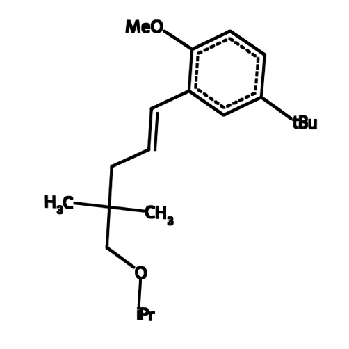 COc1ccc(C(C)(C)C)cc1/C=C/CC(C)(C)COC(C)C